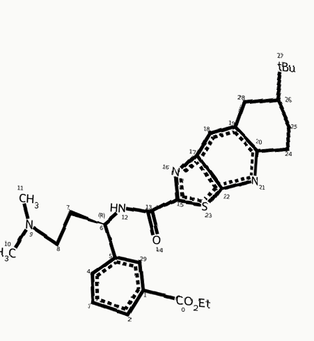 CCOC(=O)c1cccc([C@@H](CCN(C)C)NC(=O)c2nc3cc4c(nc3s2)CCC(C(C)(C)C)C4)c1